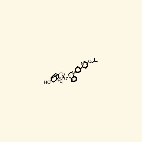 CC(C)COc1ccc(-c2ccc(N3CCN(OC(=O)NC4[C@@H]5CC6C[C@H]4CC(O)(C6)C5)c4ccccc43)cc2)nc1